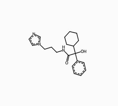 O=C(NCCCn1ccnc1)C(O)(c1ccccc1)C1CCCCC1